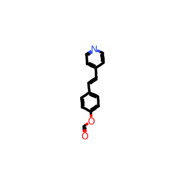 O=COc1ccc(C=Cc2ccncc2)cc1